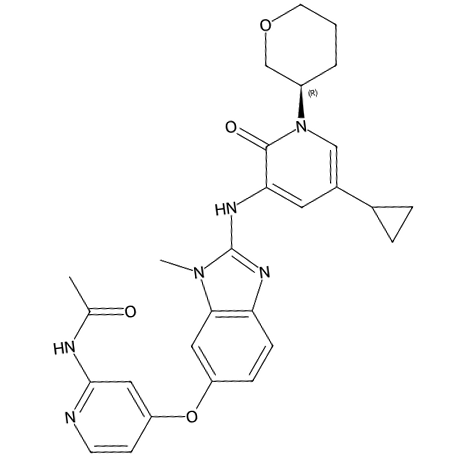 CC(=O)Nc1cc(Oc2ccc3nc(Nc4cc(C5CC5)cn([C@@H]5CCCOC5)c4=O)n(C)c3c2)ccn1